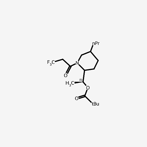 CCCC1CCC([C@H](C)OC(=O)C(C)(C)C)N(C(=O)CC(F)(F)F)C1